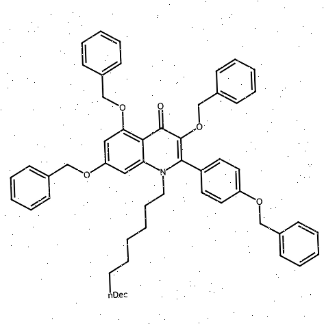 CCCCCCCCCCCCCCCCn1c(-c2ccc(OCc3ccccc3)cc2)c(OCc2ccccc2)c(=O)c2c(OCc3ccccc3)cc(OCc3ccccc3)cc21